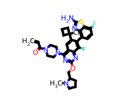 C=CC(=O)N1CCN(c2nc(OCC3CCCN3C)nc3c(F)c(-c4ccc(F)c5sc(N)nc45)c(C4(C#N)CCC4)cc23)CC1